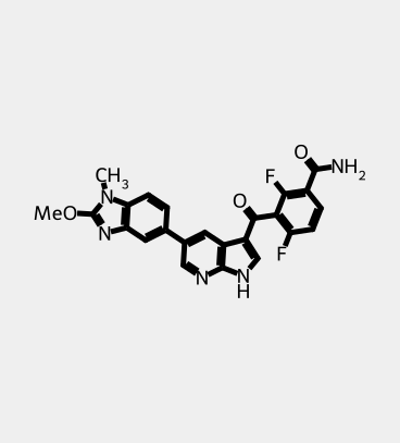 COc1nc2cc(-c3cnc4[nH]cc(C(=O)c5c(F)ccc(C(N)=O)c5F)c4c3)ccc2n1C